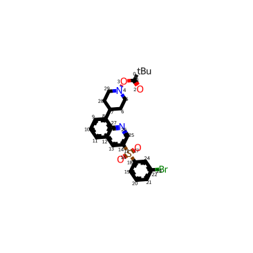 CC(C)(C)C(=O)ON1CCC(c2cccc3cc(S(=O)(=O)c4cccc(Br)c4)cnc23)CC1